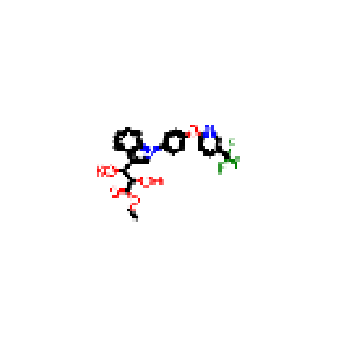 CCOC(=O)[C@@H](O)[C@H](O)c1cn(-c2ccc(Oc3ccc(C(F)(F)F)cn3)cc2)c2ccccc12